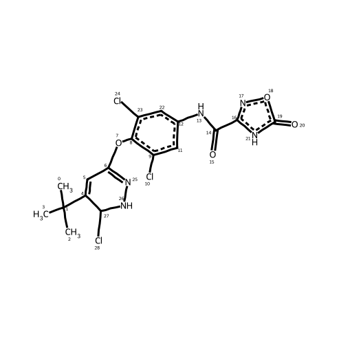 CC(C)(C)C1=CC(Oc2c(Cl)cc(NC(=O)c3noc(=O)[nH]3)cc2Cl)=NNC1Cl